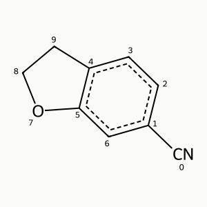 N#Cc1ccc2c(c1)OCC2